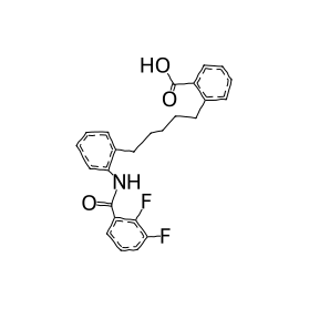 O=C(O)c1ccccc1CCCCCc1ccccc1NC(=O)c1cccc(F)c1F